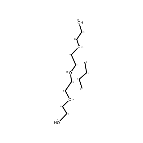 CCCC.OCCOCCOCCOCCO